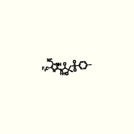 Cc1ccc(S(=O)(=O)C[C@](C)(O)C(=O)Nc2nc(C(F)(F)F)c(C#N)[nH]2)cc1